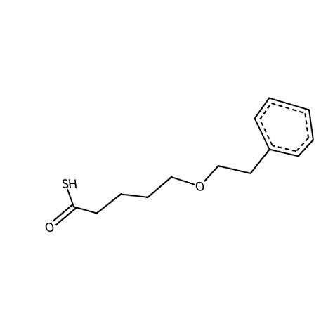 O=C(S)CCCCOCCc1ccccc1